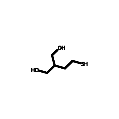 OCC(CO)CCS